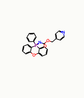 O=C(N=P1(c2ccccc2)c2ccccc2Oc2ccccc21)OCc1ccncc1